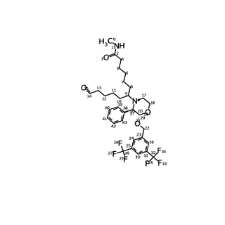 CNC(=O)CCCCCC(CCCCC=O)N1CCO[C@H](OCc2cc(C(F)(F)F)cc(C(F)(F)F)c2)[C@H]1c1ccccc1